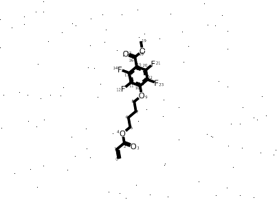 C=CC(=O)OCCCCOc1c(F)c(F)c(C(=O)OC)c(F)c1F